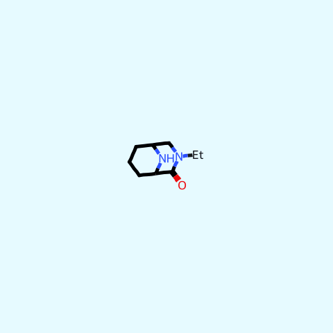 CCN1CC2CCCC(N2)C1=O